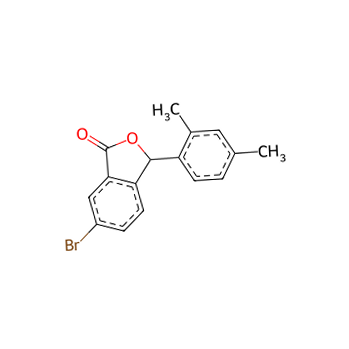 Cc1ccc(C2OC(=O)c3cc(Br)ccc32)c(C)c1